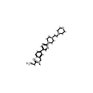 CN(Cc1cccc(-c2cnc(N3CCN(CCN4CCOCC4)CC3)nc2)c1)C(=O)CN